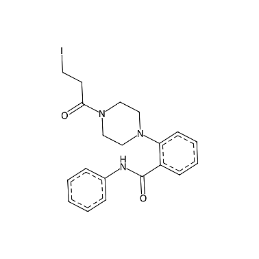 O=C(Nc1ccccc1)c1ccccc1N1CCN(C(=O)CCI)CC1